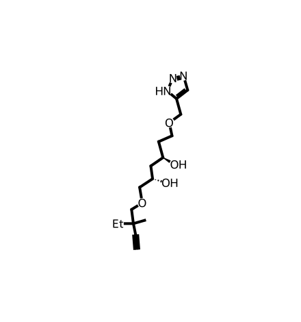 C#CC(C)(CC)COC[C@@H](O)C[C@H](O)CCOCc1cnn[nH]1